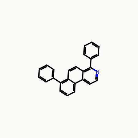 c1ccc(-c2cccc3c2ccc2c(-c4ccccc4)nccc23)cc1